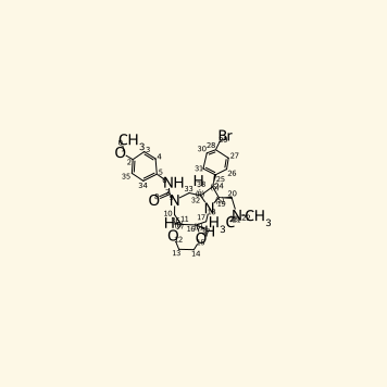 COc1ccc(NC(=O)N2C[C@H]3OCCO[C@H]3CN3[C@H](CN(C)C)[C@H](c4ccc(Br)cc4)[C@@H]3C2)cc1